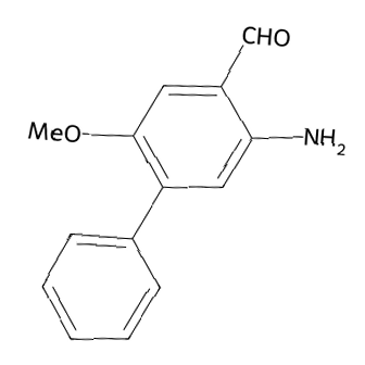 COc1cc(C=O)c(N)cc1-c1ccccc1